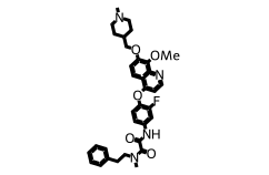 COc1c(OCC2CCN(C)CC2)ccc2c(Oc3ccc(NC(=O)C(=O)N(C)CCc4ccccc4)cc3F)ccnc12